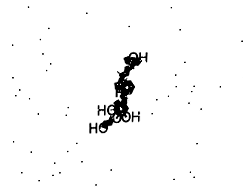 C=C1C(=CC=C2CCC[C@]3(C)[C@@H]([C@H](C)CCCC(O)(CC)CC)CC[C@@H]23)C[C@@H](O)[C@@H](OCCCO)[C@@H]1O